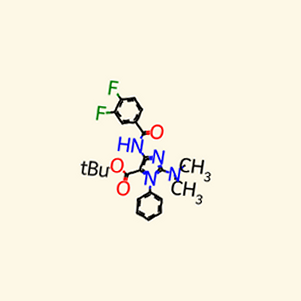 CN(C)c1nc(NC(=O)c2ccc(F)c(F)c2)c(C(=O)OC(C)(C)C)n1-c1ccccc1